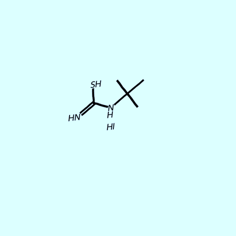 CC(C)(C)NC(=N)S.I